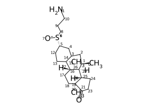 C[C@@H]1CC2C[C@@H]([S+]([O-])CCCN)CC[C@]2(C)[C@H]2CC[C@]3(C)C(=O)CC[C@H]3[C@H]12